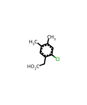 Cc1cc(Cl)c(CC(=O)O)cc1C